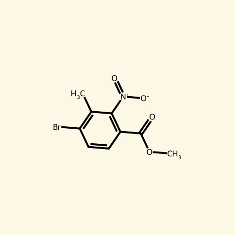 COC(=O)c1ccc(Br)c(C)c1[N+](=O)[O-]